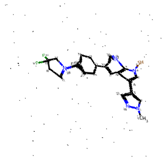 Cn1cc(-c2cn(S)c3ncc(C4CCC(N5CCC(F)(F)C5)CC4)cc23)cn1